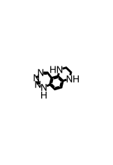 C1=NN=NNc2ccc3c(c21)NCCN3